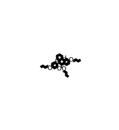 CCCCOC(=O)[C@H]1c2ccc(OCCCC)cc2[C@@H]2CCCC[C@@H]2[C@@H]1C1C=CC(OCCCC)=CC1